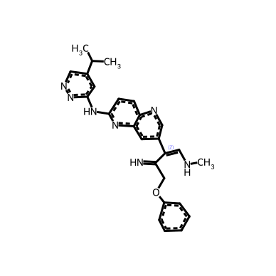 CN/C=C(\C(=N)COc1ccccc1)c1cnc2ccc(Nc3cc(C(C)C)cnn3)nc2c1